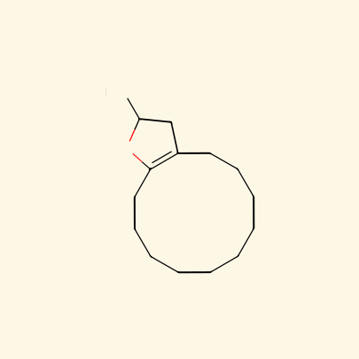 CC1CC2=C(CCCCCCCCCC2)O1